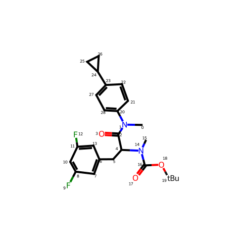 CN(C(=O)C(Cc1cc(F)cc(F)c1)N(C)C(=O)OC(C)(C)C)c1ccc(C2CC2)cc1